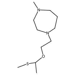 CSC(C)OCCN1CCCN(C)CC1